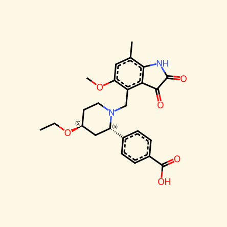 CCO[C@H]1CCN(Cc2c(OC)cc(C)c3c2C(=O)C(=O)N3)[C@H](c2ccc(C(=O)O)cc2)C1